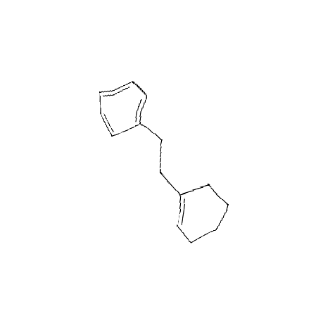 C1=C(CCc2ccccc2)CCCC1